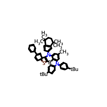 Cc1cc2c3c(c1)N(c1ccc4c(c1)C(C)(C)CCC4(C)C)c1c(sc4ccc(-c5ccccc5)cc14)B3c1cc(C(C)(C)C)ccc1N2c1ccc(C(C)(C)C)cc1